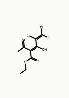 CCOC(=O)/C(C(C)=N)=C(\O)C(Cl)=C(Cl)Cl